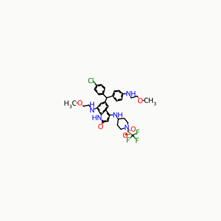 COCCNc1ccc(C(c2ccc(Cl)cc2)c2cc(NCCOC)c3[nH]c(=O)cc(NC4CCN(S(=O)(=O)C(F)(F)F)CC4)c3c2)cc1